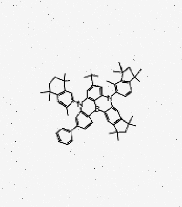 Cc1cc2c(cc1N1c3cc(-c4ccccc4)ccc3B3c4cc5c(cc4N(c4ccc6c(c4C)C(C)(C)CC6(C)C)c4cc(C(C)(C)C)cc1c43)C(C)(C)CC5(C)C)C(C)(C)CCC2(C)C